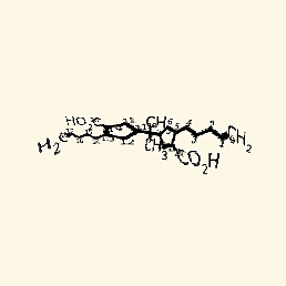 C=CCCCC1CC(C(C)(C)C2CC(CCCC=C)C(C(=O)O)C2)CC1C(=O)O